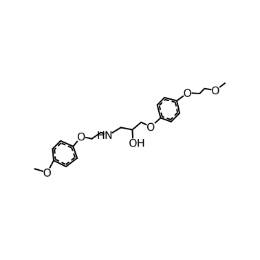 COCCOc1ccc(OCC(O)CNCCOc2ccc(OC)cc2)cc1